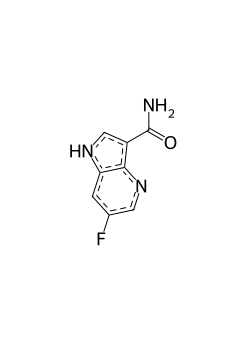 NC(=O)c1c[nH]c2cc(F)cnc12